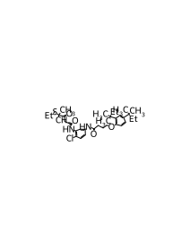 CCSC(C)(C)C(=O)CC(=O)Nc1cc(NC(=O)CCCOc2ccc(C(C)(C)CC)cc2C(C)(C)CC)ccc1Cl